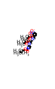 CC(C)(C)OC(=O)N(CCCN(C(=O)OC(C)(C)C)C1CCN(C(=O)OCC[Si](C)(C)C)C1)Cc1cccc([N+](=O)[O-])c1